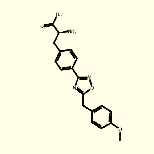 COc1ccc(Cc2nc(-c3ccc(C[C@H](N)C(=O)O)cc3)no2)cc1